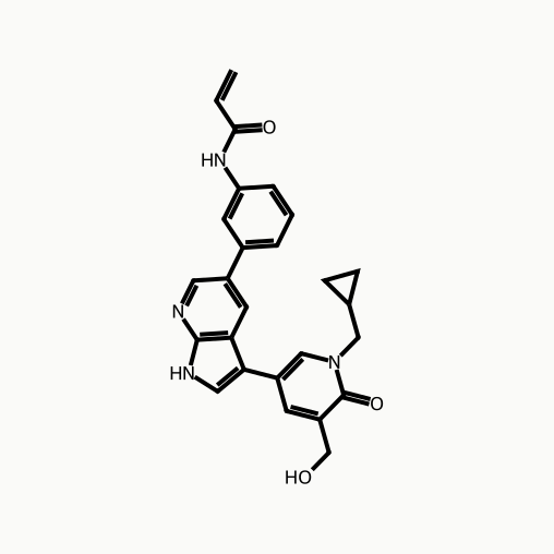 C=CC(=O)Nc1cccc(-c2cnc3[nH]cc(-c4cc(CO)c(=O)n(CC5CC5)c4)c3c2)c1